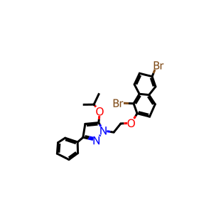 CC(C)Oc1cc(-c2ccccc2)nn1CCOc1ccc2cc(Br)ccc2c1Br